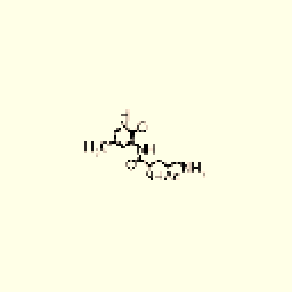 CC(=O)N[C@@H](CCCN)C(=O)Nc1cc(C)c[nH]c1=O